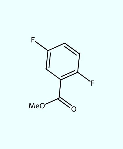 COC(=O)c1cc(F)ccc1F